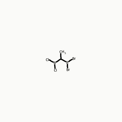 CC(B(Cl)Cl)B(Br)Br